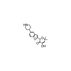 CC1(C)C=C(O)C(=O)C(c2cc3cc(C4CCNCC4)ccc3o2)O1